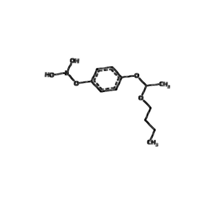 CCCCOC(C)Oc1ccc(OB(O)O)cc1